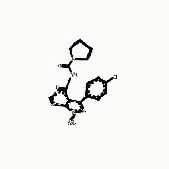 CC(C)(C)n1nc(-c2ccc(Cl)cc2)c2c(NC(=O)N3CCCC3)ncnc21